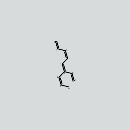 C=C\C=C/C=C(C=C)/C=C\C